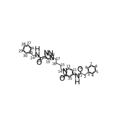 O=C(Cc1ccccc1)Nc1ccn(CCCCn2cc(C(=O)NCc3ccccc3)nn2)c(=O)c1